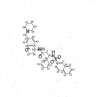 O=C(CC(NS(=O)(=O)c1ccc2ccccc2c1)c1ccccc1)NC1CCOc2cc(CN3CCCCC3)ccc21